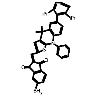 Bc1ccc2c(c1)C(=O)/C(=C/c1cc3c(s1)N(c1ccccc1)c1ccc(-c4c(C(C)C)cccc4C(C)C)cc1C3(C)C)C2=O